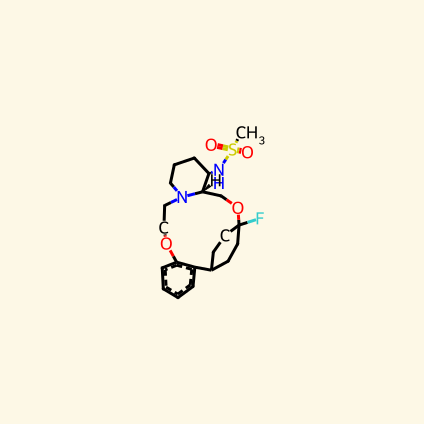 CS(=O)(=O)N[C@H]1CCCN2CCOc3ccccc3C3CCC(F)(CC3)OC[C@@H]12